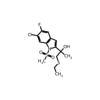 CCSCC(C)(O)c1cc2cc(F)c(Cl)cc2n1S(C)(=O)=O